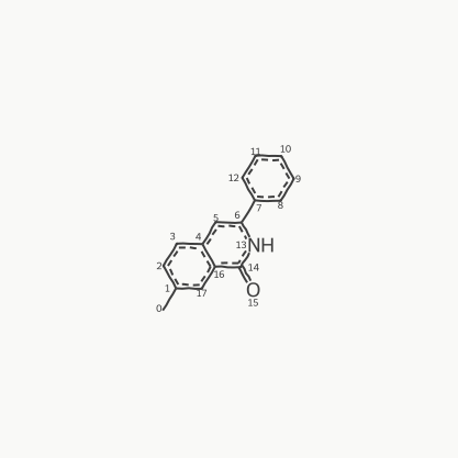 Cc1ccc2cc(-c3ccccc3)[nH]c(=O)c2c1